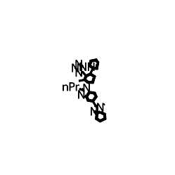 CCCc1nc2cc(-c3nc4ccccc4n3C)ccc2n1-c1ccc(-c2ccccc2)c(-c2nnn[nH]2)c1C